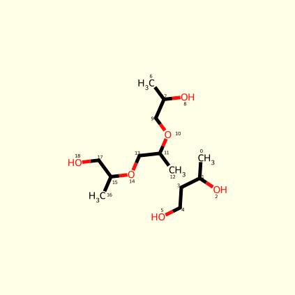 CC(O)CCO.CC(O)COC(C)COC(C)CO